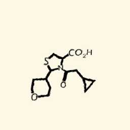 O=C(O)C1CSC(C2CCOCC2)N1C(=O)CC1CC1